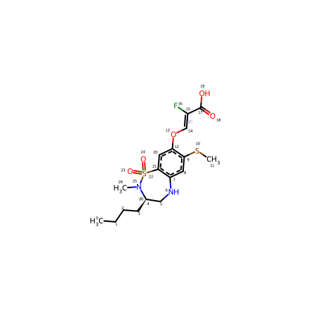 CCCC[C@@H]1CNc2cc(SC)c(O/C=C(\F)C(=O)O)cc2S(=O)(=O)N1C